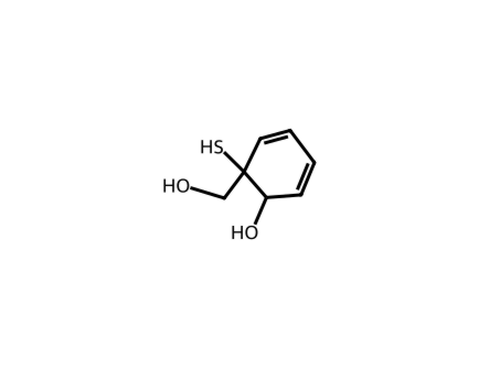 OCC1(S)C=CC=CC1O